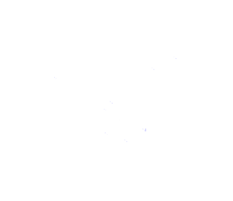 Nc1nc2cc(-c3nn(CCCCNC(=O)O)c4ncnc(N)c34)ccc2o1